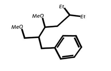 CCC(CC)CC(OC)C(COC)Cc1ccccc1